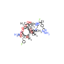 CC[C@H](c1ccc(-c2cnc(N)nc2)cc1)[C@@H](CF)n1cc(CCN(C)[C@@H]2C[C@H](O[C@@H]3[C@@H](C)C([C@H]4C[C@@](C)(OC)[C@@H](O)[C@H](C)O4)[C@@H](C)C(=O)O[C@H](I)[C@@](C)(OC(N)=O)[C@H](CCCc4cccc(F)c4)[C@@H](C)C(=O)[C@H](C)C[C@@]3(C)OC)O[C@H](C)C2)nn1